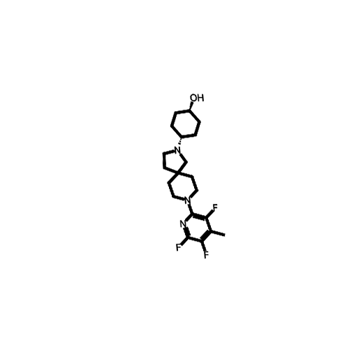 Cc1c(F)c(F)nc(N2CCC3(CC2)CCN([C@H]2CC[C@H](O)CC2)C3)c1F